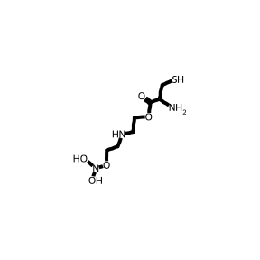 NC(CS)C(=O)OCCNCCON(O)O